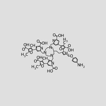 Cc1oc(-c2cc(CN3CCN(Cc4cc(-c5oc(C)c(C(=O)O)c5C)cc(C(=O)O)n4)CC(CCCCCCOc4ccc(N)cc4)CN(Cc4cc(-c5oc(C)c(C(=O)O)c5C)cc(C(=O)O)n4)CC3)nc(C(=O)O)c2)c(C)c1C(=O)O